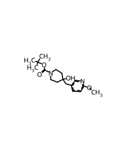 COc1ccc(CC2(O)CCN(C(=O)OC(C)(C)C)CC2)cn1